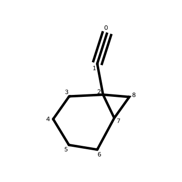 C#CC12CCCCC1C2